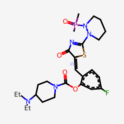 CCN(CC)C1CCN(C(=O)Oc2cc(F)ccc2/C=C2\SC(N3CCCCN3P(C)(C)=O)=NC2=O)CC1